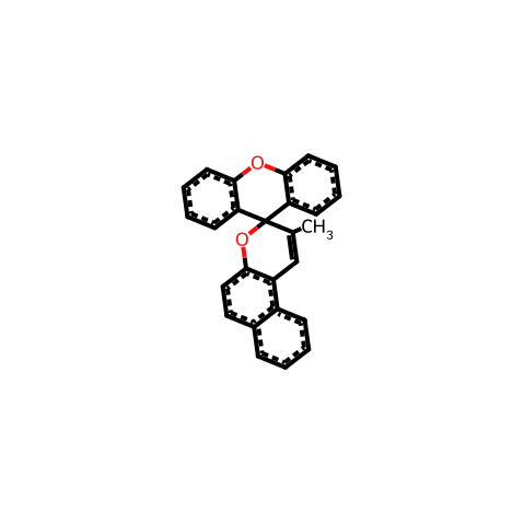 CC1=Cc2c(ccc3ccccc23)OC12c1ccccc1Oc1ccccc12